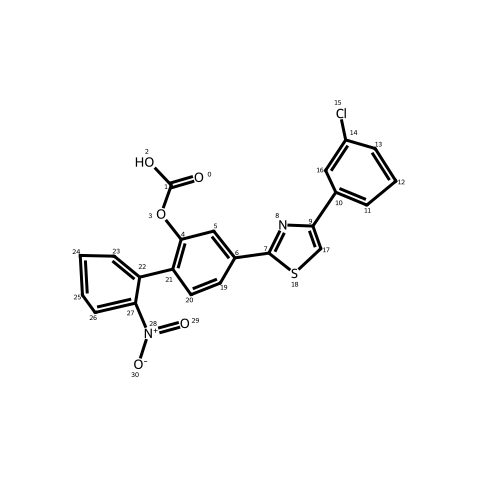 O=C(O)Oc1cc(-c2nc(-c3cccc(Cl)c3)cs2)ccc1-c1ccccc1[N+](=O)[O-]